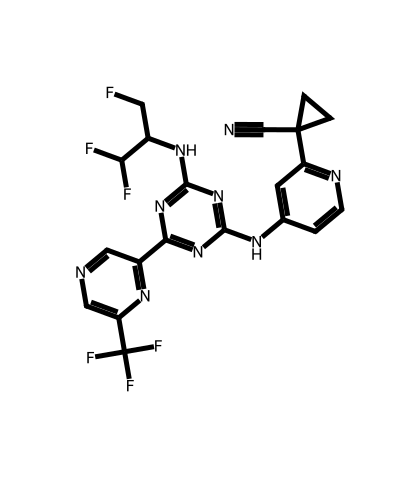 N#CC1(c2cc(Nc3nc(NC(CF)C(F)F)nc(-c4cncc(C(F)(F)F)n4)n3)ccn2)CC1